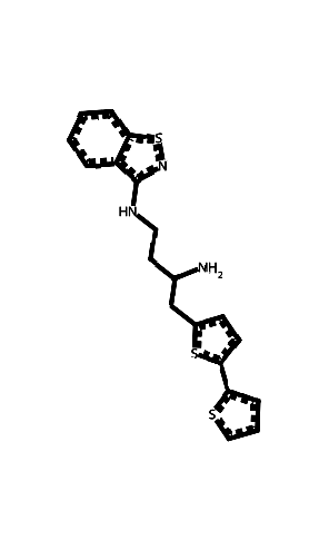 NC(CCNc1nsc2ccccc12)Cc1ccc(-c2cccs2)s1